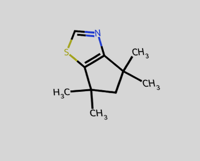 CC1(C)CC(C)(C)c2scnc21